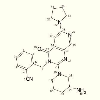 N#Cc1ccccc1Cn1c(N2CCC[C@@H](N)C2)nc2cnc(N3CCCC3)cc2c1=O